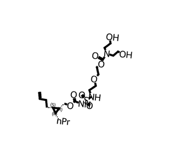 C=CCC[C@H]1[C@@H](CCC)[C@H]1COC(=O)NS(=O)(=O)NCCOCCOC(=O)N(CCO)CCO